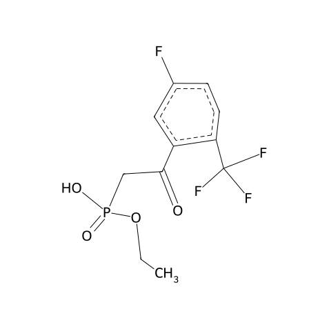 CCOP(=O)(O)CC(=O)c1cc(F)ccc1C(F)(F)F